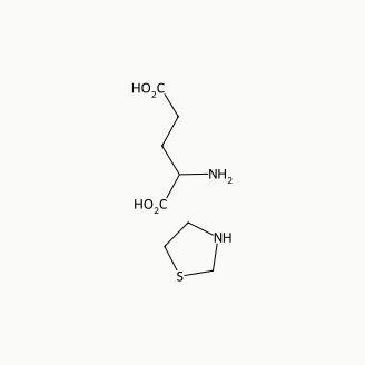 C1CSCN1.NC(CCC(=O)O)C(=O)O